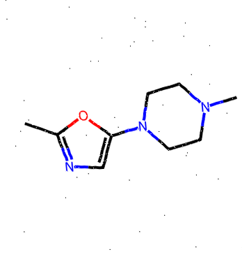 Cc1ncc(N2CCN(C)CC2)o1